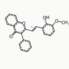 COc1cccc(/C=C/c2oc3ccccc3c(=O)c2-c2ccccc2)c1O